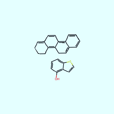 C1=c2ccc3c(c2CCC1)CC=c1ccccc1=3.Oc1cccc2sccc12